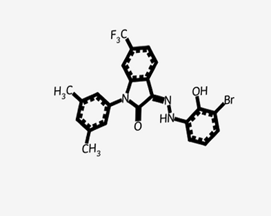 Cc1cc(C)cc(N2C(=O)C(=NNc3cccc(Br)c3O)c3ccc(C(F)(F)F)cc32)c1